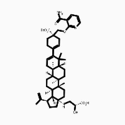 C=C(C)[C@@H]1CC[C@]2(NC[C@@H](O)C(=O)O)CC[C@]3(C)[C@H](CC[C@@H]4[C@@]5(C)CC=C(C6=CC[C@@](COc7ncccc7C(N)=O)(C(=O)OCC)CC6)C(C)(C)[C@@H]5CC[C@]43C)[C@@H]12